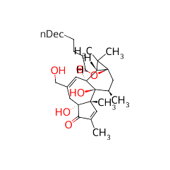 CCCCCCCCCCCCCC(=O)O[C@@]12C[C@@H](C)[C@@]3(O)[C@@H](C=C(CO)C[C@]4(O)C(=O)C(C)=C[C@@]34C)[C@@H]1C2(C)C